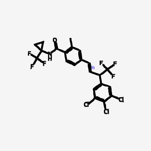 Cc1cc(/C=C/C(c2cc(Cl)c(Cl)c(Cl)c2)C(F)(F)F)ccc1C(=O)NC1(C(F)(F)F)CC1